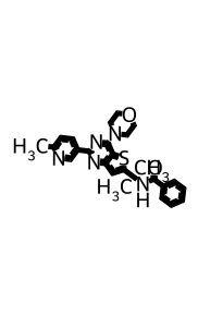 Cc1ccc(-c2nc(N3CCOCC3)c3sc(C(C)(C)NC(=O)c4ccccc4)cc3n2)cn1